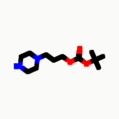 CC(C)(C)OC(=O)OCCCN1CCNCC1